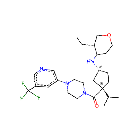 CCC1COCCC1N[C@@H]1CC[C@@](C(=O)N2CCN(c3cncc(C(F)(F)F)c3)CC2)(C(C)C)C1